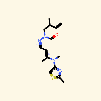 C=CC(C)CN(C=O)/N=C\C=C(/C)N(C)c1csc(C)n1